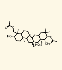 C=CCC1[C@@]2(C)CC[C@H](O)[C@](C)(COC(C)=O)C2CC[C@@]1(C)[C@@]1(C)CC2CC(C)(C)[C@@H](OC(C)=O)[C@H](O)[C@]2(CO)[C@H](O)C1